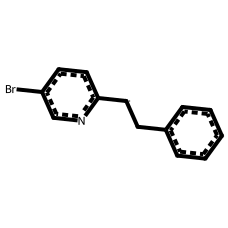 Brc1ccc([CH]Cc2ccccc2)nc1